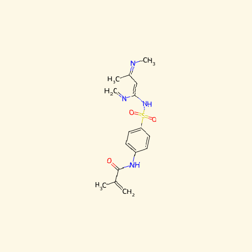 C=N/C(=C\C(C)=N/C)NS(=O)(=O)c1ccc(NC(=O)C(=C)C)cc1